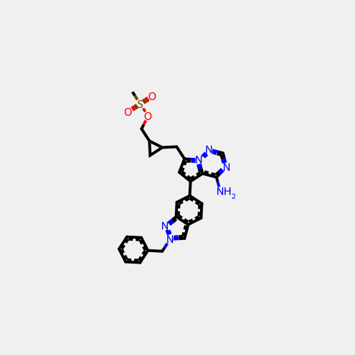 CS(=O)(=O)OCC1CC1Cc1cc(-c2ccc3cn(Cc4ccccc4)nc3c2)c2c(N)ncnn12